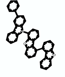 c1ccc(-c2ccc3c(c2)c2ccccc2n3-c2cccc3c2oc2cccc(-c4cccc5oc6ccccc6c45)c23)cc1